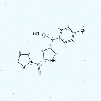 CN(c1ccc(C#N)cn1)[C@@H]1CN[C@H](C(=O)N2CCSC2)C1.Cl